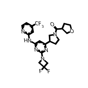 O=C(C1CCOC1)N1CCC(c2cc(Nc3cc(C(F)(F)F)ccn3)nc(N3CC(F)(F)C3)n2)C1